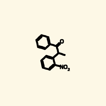 CC(C(=O)c1ccccc1)c1ccccc1[N+](=O)[O-]